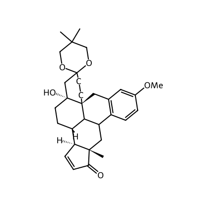 COc1ccc2c(c1)C[C@]13CCC4(C[C@]1(O)CC[C@@H]1C3C2C[C@]2(C)C(=O)C=C[C@@H]12)OCC(C)(C)CO4